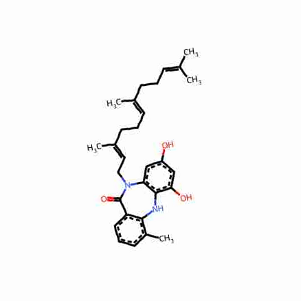 CC(C)=CCC/C(C)=C/CC/C(C)=C/CN1C(=O)c2cccc(C)c2Nc2c(O)cc(O)cc21